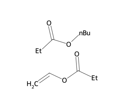 C=COC(=O)CC.CCCCOC(=O)CC